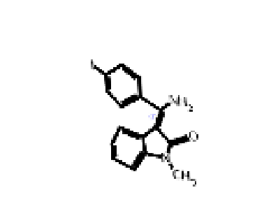 CN1C(=O)/C(=C(\N)c2ccc(I)cc2)c2ccccc21